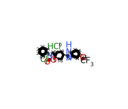 Cl.O=C1O[C@]2(CC[C@H](c3nc4cc(OC(F)(F)F)ccc4[nH]3)CC2)CN1c1ccccc1Cl